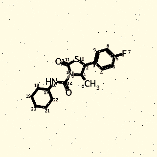 CC1C(c2ccc(F)cc2)SC(=O)N1C(=O)NC1CCCCC1